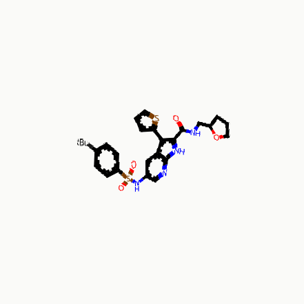 CC(C)(C)c1ccc(S(=O)(=O)Nc2cnc3[nH]c(C(=O)NCC4CCCO4)c(-c4cccs4)c3c2)cc1